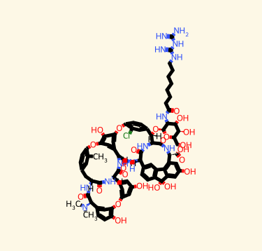 Cc1cc2ccc1Oc1cc3cc(c1O)Oc1ccc(cc1Cl)[C@@H](O[C@@H]1OC(CO)[C@@H](O)C(O)C1NC(=O)CCCCCCCNC(=N)NC(=N)N)[C@@H]1NC(=O)[C@H](NC(=O)[C@@H]3NC(=O)[C@H]3NC(=O)[C@@H](C2)NC(=O)[C@H](N(C)C)c2ccc(O)c(c2)Oc2cc(O)cc3c2)c2ccc3c(c2)-c2c(cc(O)cc2C3(O)O)[C@@H](C(=O)O)NC1=O